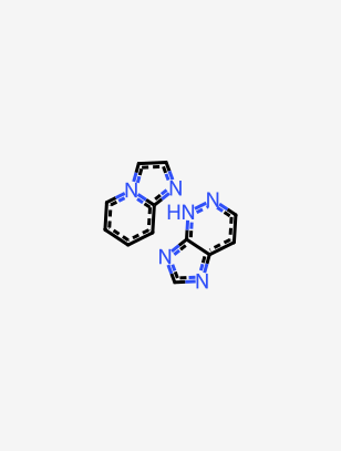 c1cc2ncnc-2[nH]n1.c1ccn2ccnc2c1